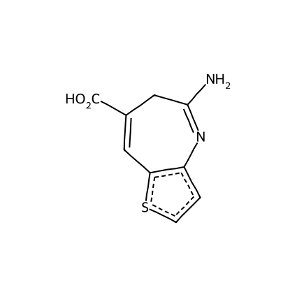 NC1=Nc2ccsc2C=C(C(=O)O)C1